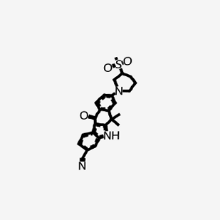 CC1(C)c2cc(N3CCCC(S(C)(=O)=O)C3)ccc2C(=O)c2c1[nH]c1cc(C#N)ccc21